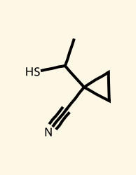 CC(S)C1(C#N)CC1